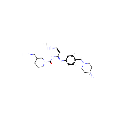 NCC1CCCN(C(=O)NC(/C=C\NC=O)=N/c2ccc(CN3CCC(N)CC3)cc2)C1